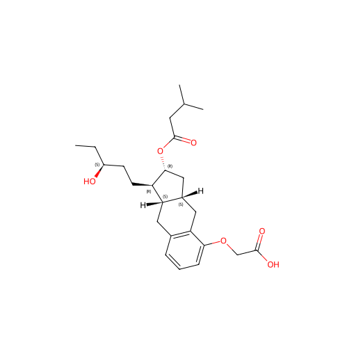 CC[C@H](O)CC[C@@H]1[C@H]2Cc3cccc(OCC(=O)O)c3C[C@H]2C[C@H]1OC(=O)CC(C)C